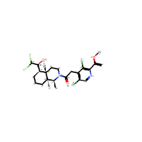 C=C(OCC)c1ncc(Cl)c(CC(=O)N2CC[C@H]3[C@H]([C@H](O)C(F)F)CCC[C@@H]3[C@@H]2C)c1Cl